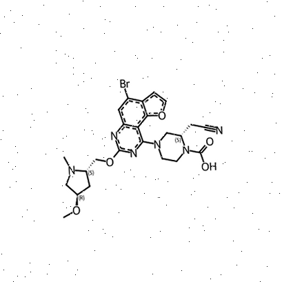 CO[C@@H]1C[C@@H](COc2nc(N3CCN(C(=O)O)[C@@H](CC#N)C3)c3c(cc(Br)c4ccoc43)n2)N(C)C1